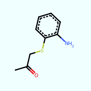 CC(=O)CSc1ccccc1N